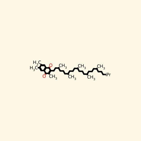 CC1=C(CCC(C)CCCC(C)CCCC(C)CCCC(C)CCCC(C)CCCC(C)C)C(=O)c2cc(C)c(C)cc2C1=O